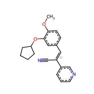 COc1ccc(/C=C(\C#N)c2cccnc2)cc1OC1CCCC1